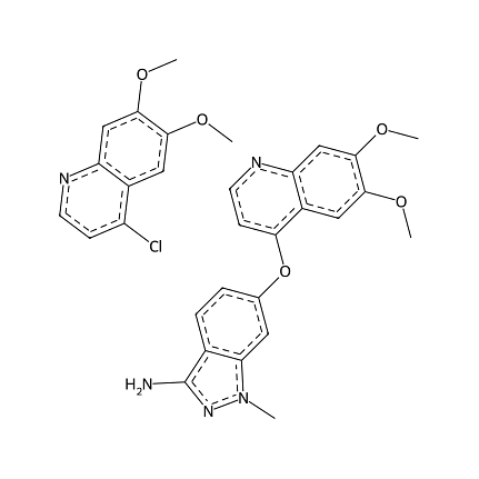 COc1cc2nccc(Cl)c2cc1OC.COc1cc2nccc(Oc3ccc4c(N)nn(C)c4c3)c2cc1OC